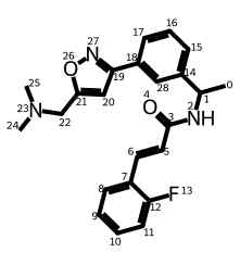 CC(NC(=O)C=Cc1ccccc1F)c1cccc(-c2cc(CN(C)C)on2)c1